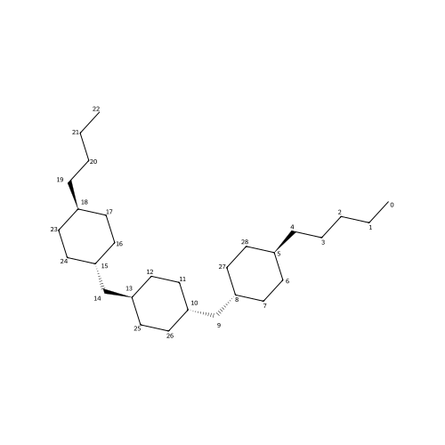 CCCCC[C@H]1CC[C@H](C[C@H]2CC[C@H](C[C@H]3CC[C@H](CCCC)CC3)CC2)CC1